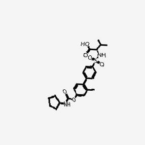 Cc1cc(OC(=O)NC2CCCC2)ccc1-c1ccc(S(=O)(=O)N[C@@H](C(=O)O)C(C)C)cc1